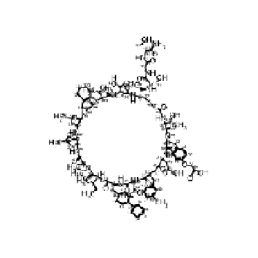 CCC(C)[C@@H]1NC(=O)[C@H](Cc2ccc(-c3ccccc3)cc2)NC(=O)[C@H](C(C)C)NC(=O)[C@H](Cc2cccc(C)c2)CC(=O)[C@H](CC(=O)O)NC(=O)[C@H](Cc2ccc(OCC(=O)O)cc2)NC(=O)[C@H]([C@@H](C)O)NC(=O)CSC[C@@H](C(=O)N[C@@H](CO)C(=O)NCC(=O)N[C@H](CO)C(N)=O)NC(=O)[C@H](C(C)O)NC(=O)[C@H](C(C)C)NC(=O)[C@H](CC2CCCCC2)NC(=O)[C@H](CCN)NC(=O)[C@@H](CC(C)C)NC(=O)[C@H](C)N(C)C1=O